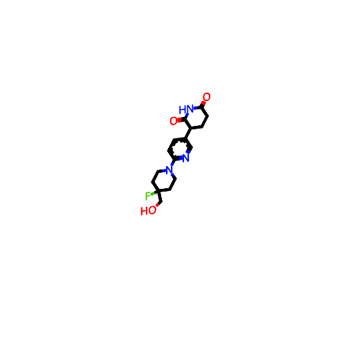 O=C1CCC(c2ccc(N3CCC(F)(CO)CC3)nc2)C(=O)N1